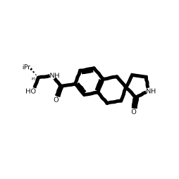 CC(C)[C@@H](O)NC(=O)c1ccc2c(c1)CCC1(CCNC1=O)C2